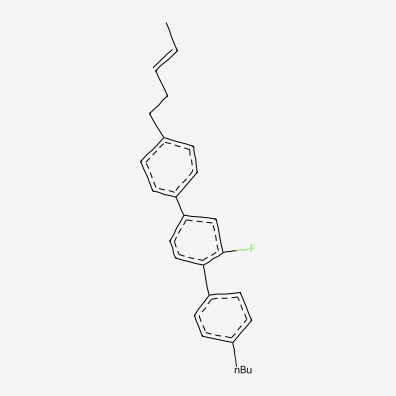 C/C=C/CCc1ccc(-c2ccc(-c3ccc(CCCC)cc3)c(F)c2)cc1